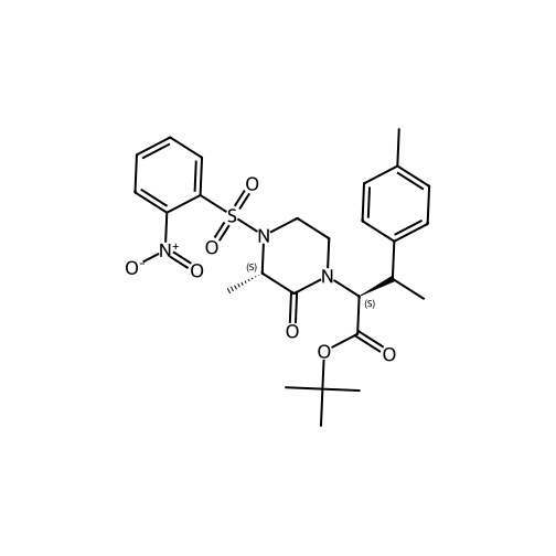 Cc1ccc(C(C)[C@@H](C(=O)OC(C)(C)C)N2CCN(S(=O)(=O)c3ccccc3[N+](=O)[O-])[C@@H](C)C2=O)cc1